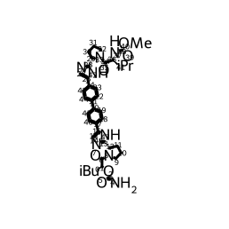 CCC(C)[C@H](OC(N)=O)C(=O)N1CCC[C@H]1c1ncc(-c2ccc(-c3ccc(-c4cnc([C@@H]5CCCN5C(=O)[C@@H](NC(=O)OC)C(C)C)[nH]4)cc3)cc2)[nH]1